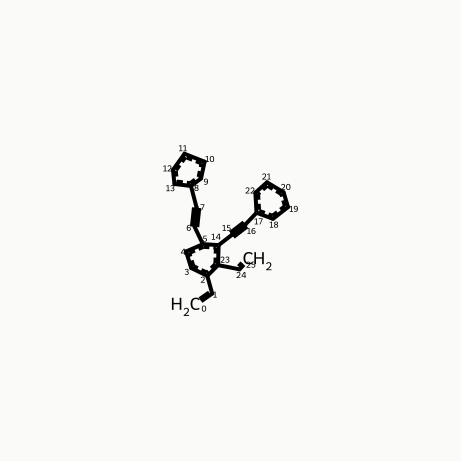 C=Cc1ccc(C#Cc2ccccc2)c(C#Cc2ccccc2)c1C=C